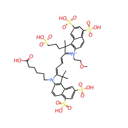 COCC[N+]1=C(/C=C/C=C2/N(CCCCCC(=O)O)c3ccc4c(S(=O)(=O)O)cc(S(=O)(=O)O)cc4c3C2(C)C)C(C)(CCCS(=O)(=O)O)c2c1ccc1c(S(=O)(=O)O)cc(S(=O)(=O)O)cc21